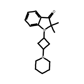 CC1(C)C(=O)c2ccccc2N1C1CC(N2CCCCC2)C1